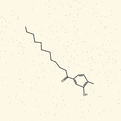 CCCCCCCCCCCC(=O)c1ccc(C)c(O)c1